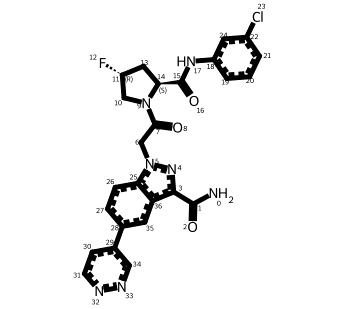 NC(=O)c1nn(CC(=O)N2C[C@H](F)C[C@H]2C(=O)Nc2cccc(Cl)c2)c2ccc(-c3ccnnc3)cc12